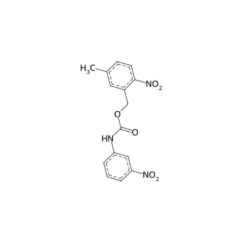 Cc1ccc([N+](=O)[O-])c(COC(=O)Nc2cccc([N+](=O)[O-])c2)c1